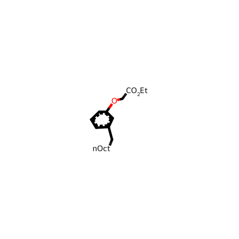 CCCCCCCCCc1cccc(OCC(=O)OCC)c1